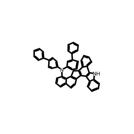 c1ccc(-c2ccc(N(c3cccc(-c4ccccc4)c3)c3cccc4ccc5c(c34)Cc3c-5c4c5ccccc5[nH]c4c4ccccc34)cc2)cc1